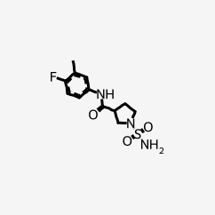 Cc1cc(NC(=O)C2CCN(S(N)(=O)=O)C2)ccc1F